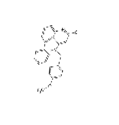 FC(F)(F)Oc1ccc(CNc2cc(Cl)nc3cccc(-c4ccccc4)c23)cc1